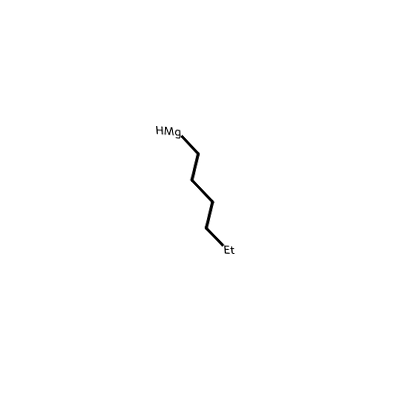 CCCCC[CH2][MgH]